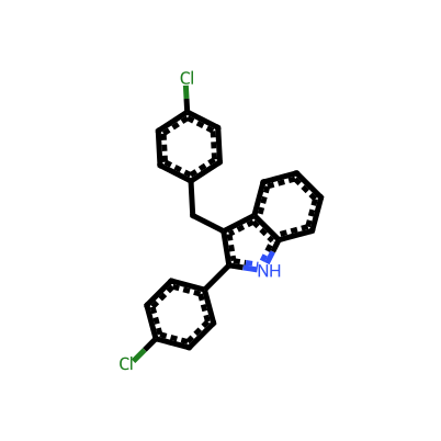 Clc1ccc(Cc2c(-c3ccc(Cl)cc3)[nH]c3ccccc23)cc1